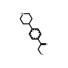 CC(C)CC(=O)c1ccc(C2CCNCC2)cc1